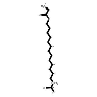 C=CC(=O)OCCCCCCCCCCCCC[SiH2]C(I)I